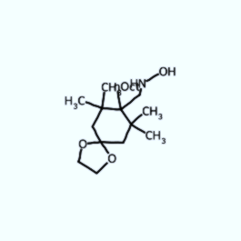 CCCCCCCCC1(CNO)C(C)(C)CC2(CC1(C)C)OCCO2